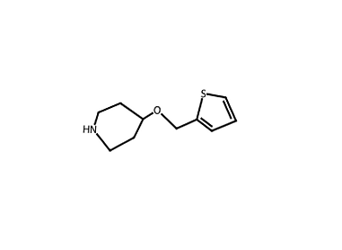 c1csc(COC2CCNCC2)c1